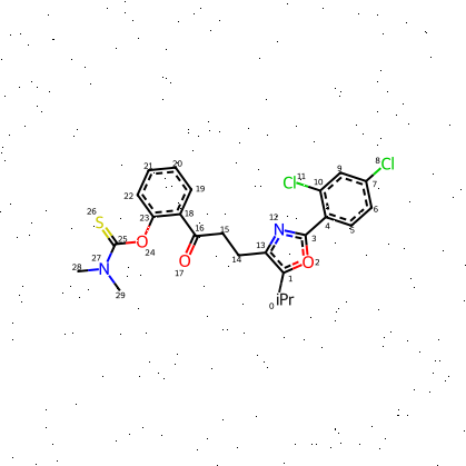 CC(C)c1oc(-c2ccc(Cl)cc2Cl)nc1CCC(=O)c1ccccc1OC(=S)N(C)C